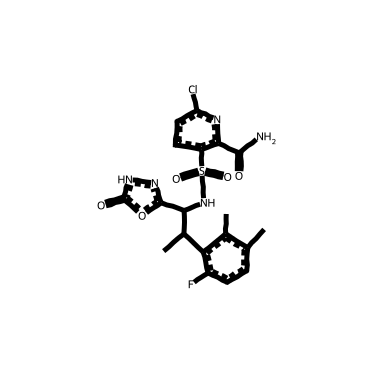 Cc1ccc(F)c(C(C)C(NS(=O)(=O)c2ccc(Cl)nc2C(N)=O)c2n[nH]c(=O)o2)c1C